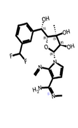 C=Nc1c(/C(N)=N\C)ccn1[C@@H]1O[C@H]([C@@H](O)c2cccc(C(F)F)c2)[C@@](C)(O)[C@H]1O